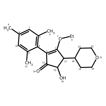 CCOC1=C(c2c(C)cc(C)cc2C)C(=O)C(O)C1C1CCOCC1